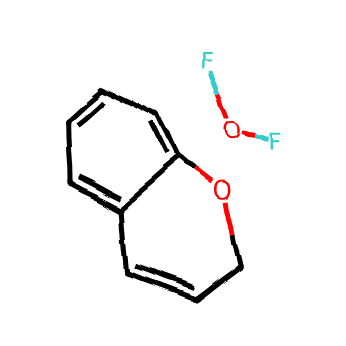 C1=Cc2ccccc2OC1.FOF